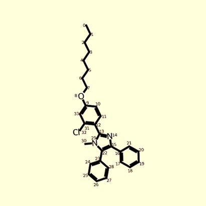 CCCCCCCCOc1ccc(-c2nc(-c3ccccc3)c(-c3ccccc3)n2C)c(Cl)c1